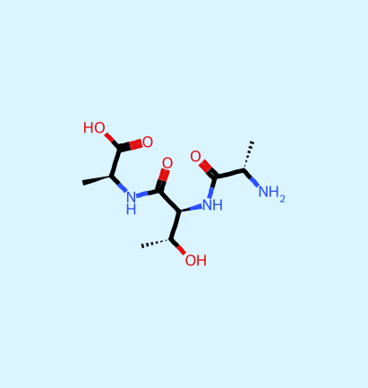 C[C@H](N)C(=O)N[C@H](C(=O)N[C@@H](C)C(=O)O)[C@@H](C)O